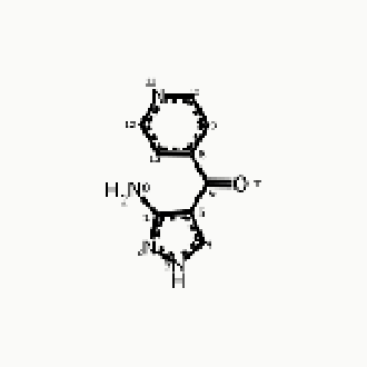 Nc1n[nH]cc1C(=O)c1ccncc1